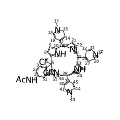 CC(=O)Nc1ccc(C2(Cl)c3ccc([nH]3)C(C3=CCN(C)C=C3)=C3C=CC(=N3)C(C3=CCN(C)C=C3)=c3ccc([nH]3)=C(C3=CCN(C)C=C3)C3=NC2(Cl)C=C3)cc1